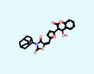 O=C1/C(=C\c2ccc(-c3c(O)c4ccccc4oc3=O)o2)SC(=S)N1C1C2CC3CC(C2)CC1C3